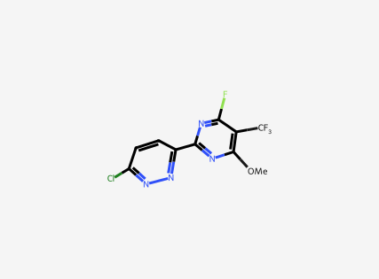 COc1nc(-c2ccc(Cl)nn2)nc(F)c1C(F)(F)F